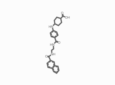 O=C(NCCNC(=O)c1ccc2ccccc2c1)c1ccc(NC2CCC(C(=O)O)CC2)cc1